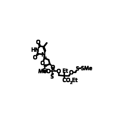 CCOC(=O)C(CC)(COCSSC)COP(=S)(OC)OC1C[C@H](n2cc(C)c(=O)[nH]c2=O)O[C@@H]1CC